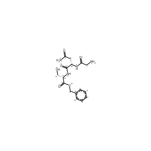 NCC(=O)N[C@@H](CC(N)=O)C(=O)N[C@@H](CO)C(=O)OCc1ccccc1